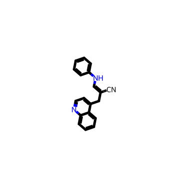 N#CC(=CNc1ccccc1)Cc1ccnc2ccccc12